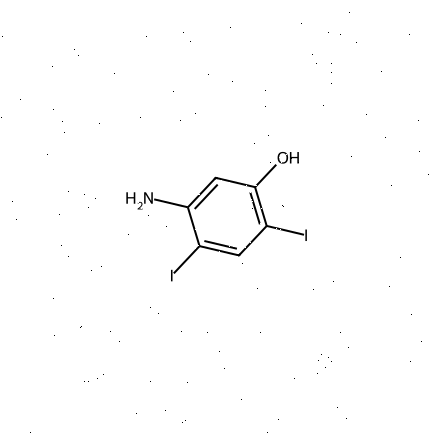 Nc1cc(O)c(I)cc1I